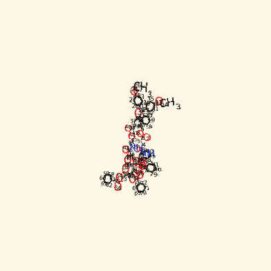 CNC(=O)CCC(=O)OC[C@@H]1C[C@@H](OC(c2ccccc2)(c2ccc(OC)cc2)c2ccc(OC)cc2)CC1C(=O)COCCNC(=O)CO[C@H]1OC(COC(=O)c2ccccc2)[C@@H](OC(=O)c2ccccc2)[C@@H](OC(=O)c2ccccc2)C1OC(=O)c1ccccc1